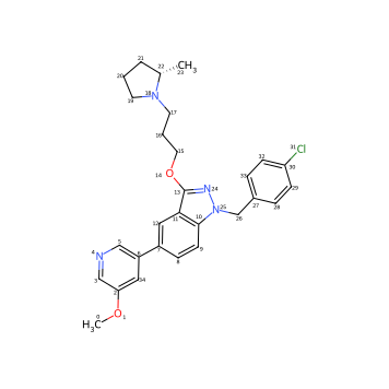 COc1cncc(-c2ccc3c(c2)c(OCCCN2CCC[C@@H]2C)nn3Cc2ccc(Cl)cc2)c1